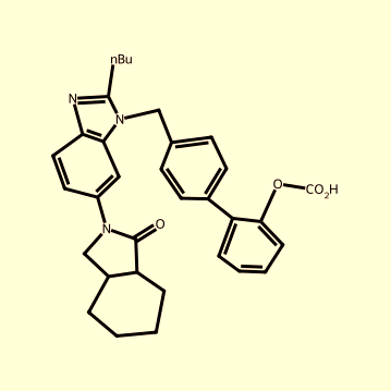 CCCCc1nc2ccc(N3CC4CCCCC4C3=O)cc2n1Cc1ccc(-c2ccccc2OC(=O)O)cc1